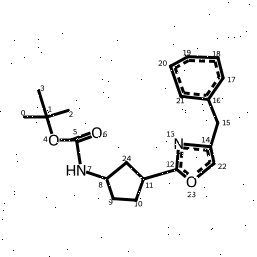 CC(C)(C)OC(=O)NC1CCC(c2nc(Cc3ccccc3)co2)C1